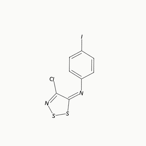 Clc1nss/c1=N/c1ccc(I)cc1